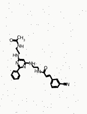 CC(=O)NCCNc1cc(NCCNC(=O)C=Cc2cccc(C#N)c2)nc(-c2ccccc2)n1